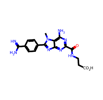 Cn1c(-c2ccc(C(=N)N)cc2)nc2nc(C(=O)NCCC(=O)O)nc(N)c21